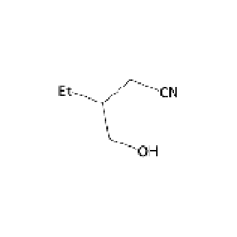 CCC(CO)CC#N